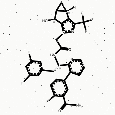 NC(=O)c1cc(-c2cccnc2[C@H](Cc2cc(F)cc(F)c2)NC(=O)Cn2nc(C(F)(F)F)c3c2[C@@H](O)C2C[C@H]32)ccc1F